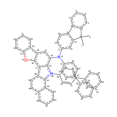 CC1(C)c2ccccc2-c2ccc(N(c3ccc(-c4ccccc4)cc3)c3cc4c5ccccc5oc4c4c5ccc6ccccc6c5n(C5C=CC(c6ccccc6)=CC5)c34)cc21